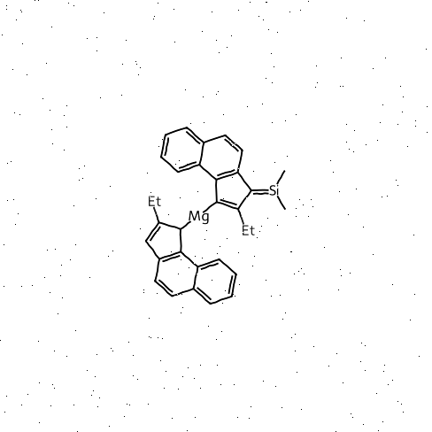 CCC1=Cc2ccc3ccccc3c2[CH]1[Mg][C]1=C(CC)C(=[Si](C)C)c2ccc3ccccc3c21